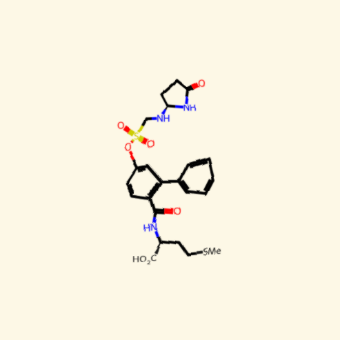 CSCC[C@H](NC(=O)c1ccc(OS(=O)(=O)CN[C@H]2CCC(=O)N2)cc1-c1ccccc1)C(=O)O